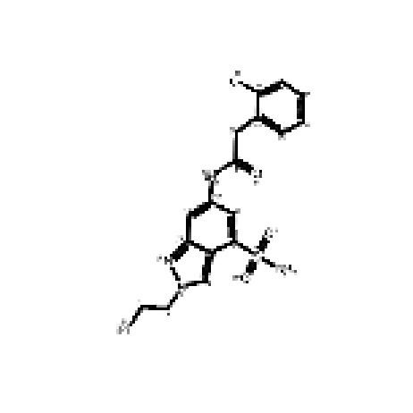 CC(C)CCn1cc2c(S(N)(=O)=O)cc(NC(=O)Cc3ccccc3Cl)cc2n1